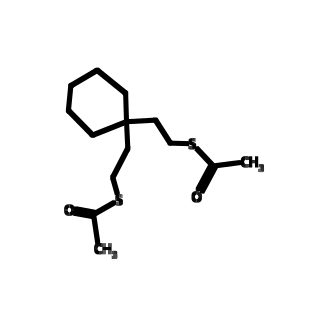 CC(=O)SCCC1(CCSC(C)=O)CCCCC1